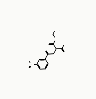 CCOC(=O)C(CC(=O)c1cccc([N+](=O)[O-])c1)C(C)=O